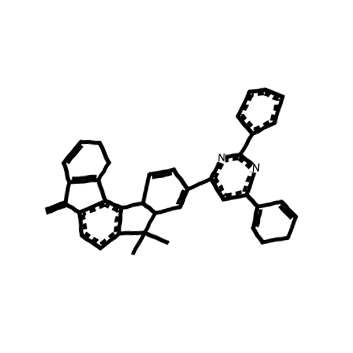 C=C1C2=C(CCC=C2)c2c1ccc1c2C2C=CC(c3cc(C4=CCCC=C4)nc(-c4ccccc4)n3)=CC2C1(C)C